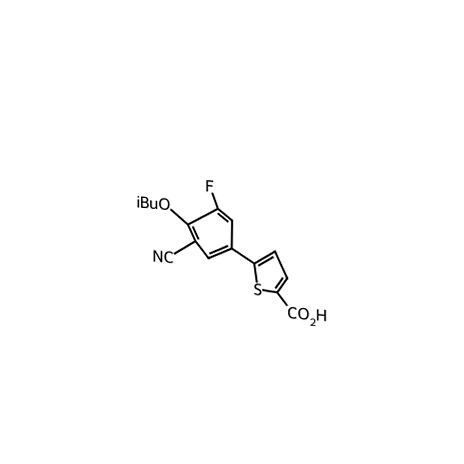 CC(C)COc1c(F)cc(-c2ccc(C(=O)O)s2)cc1C#N